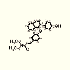 CCN(CC)C(=O)C=Cc1ccc(Oc2c(-c3ccc(O)cc3)ccc3ccccc23)cc1